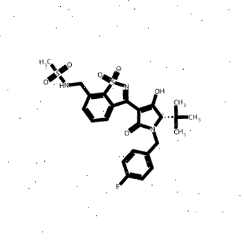 CC(C)(C)[C@H]1C(O)=C(C2=NS(=O)(=O)c3c(CNS(C)(=O)=O)cccc32)C(=O)N1Cc1ccc(F)cc1